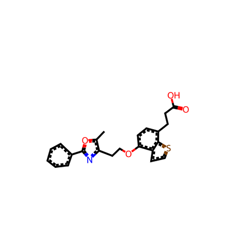 Cc1oc(-c2ccccc2)nc1CCOc1ccc(CCC(=O)O)c2sccc12